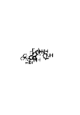 COC(=O)Nc1ccc2c(-c3nc(N[C@H]4CCC(C)(C)NC4)ncc3C(F)(F)F)c[nH]c2c1Br